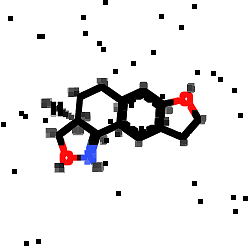 c1c2c(cc3c1OCC3)C1=NOC[C@H]1CC2